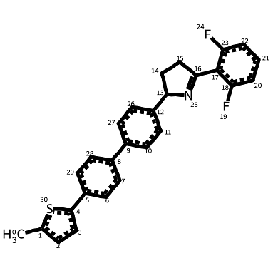 Cc1ccc(-c2ccc(-c3ccc(C4CCC(c5c(F)cccc5F)=N4)cc3)cc2)s1